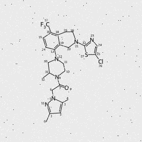 Cc1cc(C)n(CC(=O)N2CCN(c3ccc(C(F)(F)F)c4c3CN(c3ncc(Cl)s3)CC4)CC2C)n1